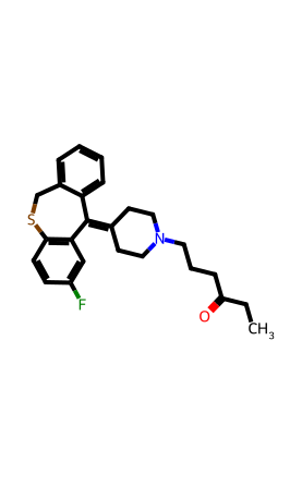 CCC(=O)CCCN1CCC(=C2c3ccccc3CSc3ccc(F)cc32)CC1